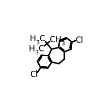 CC(C)(C)C1c2ccc(Cl)cc2CCc2cc(Cl)ccc21